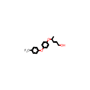 CC(C=CCO)Oc1ccc(Oc2ccc(C(F)(F)F)cc2)cc1